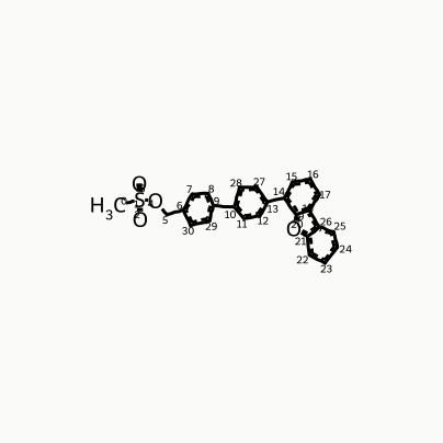 CS(=O)(=O)OCc1ccc(-c2ccc(-c3cccc4c3oc3ccccc34)cc2)cc1